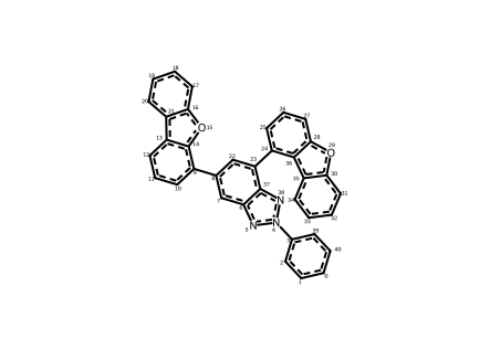 c1ccc(-n2nc3cc(-c4cccc5c4oc4ccccc45)cc(-c4cccc5oc6ccccc6c45)c3n2)cc1